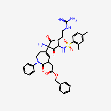 CC(=O)C(N)(C(=O)C(CCCNC(=N)N)NS(=O)(=O)c1ccc(C)cc1C)C1=CC(CC(=O)OCc2ccccc2)C(=O)N(c2ccccc2)CC1